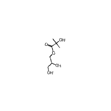 CC(C)(O)C(=O)OCC(O)CO